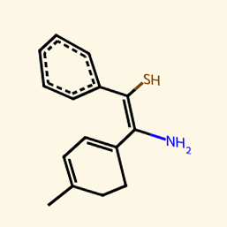 CC1=CC=C(/C(N)=C(/S)c2ccccc2)CC1